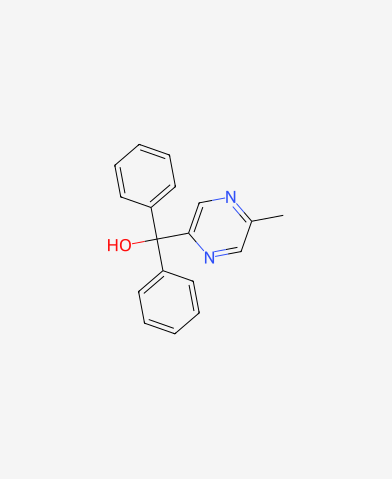 Cc1cnc(C(O)(c2ccccc2)c2ccccc2)cn1